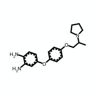 CC(COc1ccc(Oc2ccc(N)c(N)c2)cc1)N1CCCC1